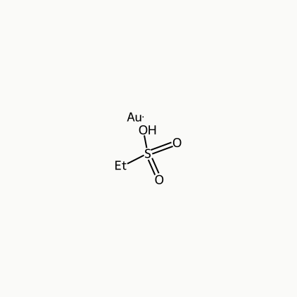 CCS(=O)(=O)O.[Au]